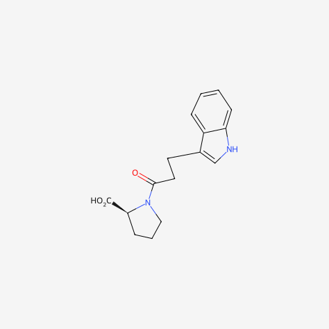 O=C(O)[C@@H]1CCCN1C(=O)CCc1c[nH]c2ccccc12